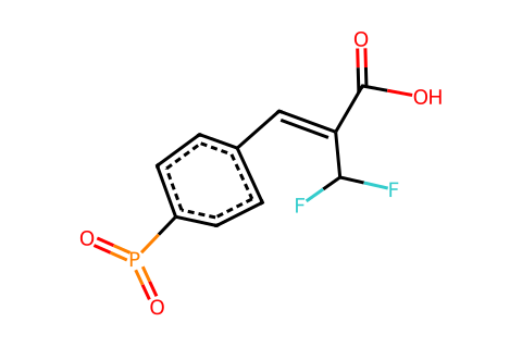 O=C(O)C(=Cc1ccc(P(=O)=O)cc1)C(F)F